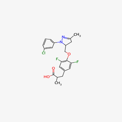 CC1=NN(c2cccc(Cl)c2)C(COc2c(F)cc(CC(C)C(=O)O)cc2F)C1